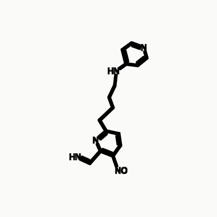 N=Cc1nc(CCCCNc2ccncc2)ccc1N=O